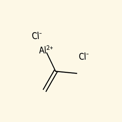 C=[C](C)[Al+2].[Cl-].[Cl-]